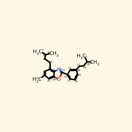 Cc1cc(CCC(C)C)c2nc(-c3cccc(CCC(C)C)c3)oc2c1